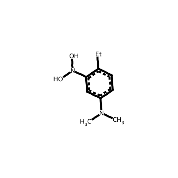 CCc1ccc(N(C)C)cc1N(O)O